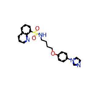 O=S(=O)(NCCCCOc1ccc(-n2ccnc2)cc1)c1cccc2cccnc12